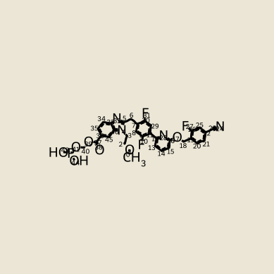 COCCn1c(Cc2cc(F)c(-c3cccc(OCc4ccc(C#N)cc4F)n3)cc2F)nc2ccc(C(=O)OCOP(O)O)cc21